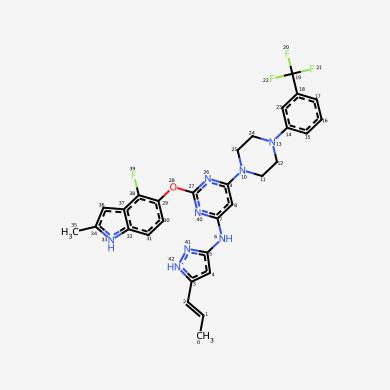 C/C=C/c1cc(Nc2cc(N3CCN(c4cccc(C(F)(F)F)c4)CC3)nc(Oc3ccc4[nH]c(C)cc4c3F)n2)n[nH]1